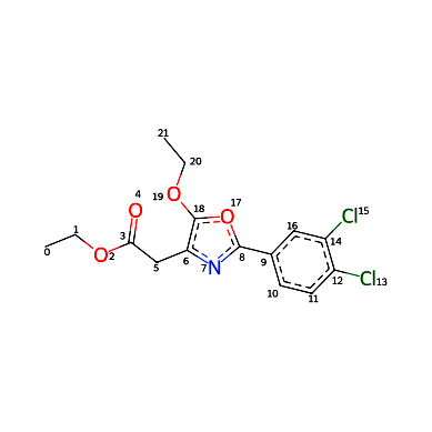 CCOC(=O)Cc1nc(-c2ccc(Cl)c(Cl)c2)oc1OCC